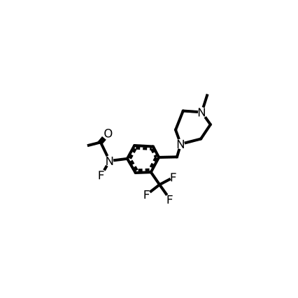 CC(=O)N(F)c1ccc(CN2CCN(C)CC2)c(C(F)(F)F)c1